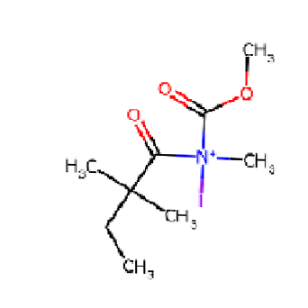 CCC(C)(C)C(=O)[N+](C)(I)C(=O)OC